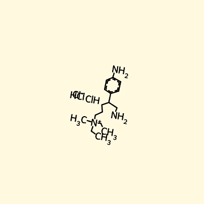 CC[N+](C)(CC)CCCC(CN)c1ccc(N)cc1.Cl.Cl.[Cl-]